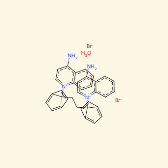 Nc1cc[n+](C2(CCC3([n+]4ccc(N)c5ccccc54)C4=CC=C3C=C4)C3=CC=C2C=C3)c2ccccc12.O.[Br-].[Br-]